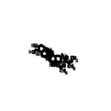 B[C@]12CC[C@H](O)[C@](B)(CO)C1CC[C@]1(B)C2CC=C2C3C[C@@](B)(S)[C@@H](OC(=O)/C(C)=C\C)[C@H](OC(C)=O)[C@]3(CO)[C@H](O)C[C@]21B